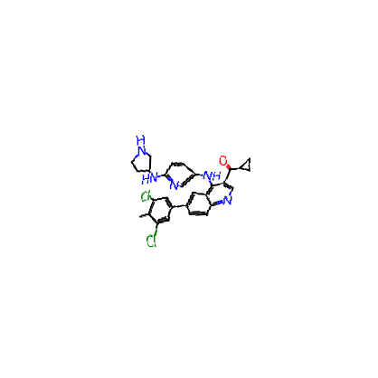 Cc1c(Cl)cc(-c2ccc3ncc(C(=O)C4CC4)c(Nc4ccc(NC5CCNC5)nc4)c3c2)cc1Cl